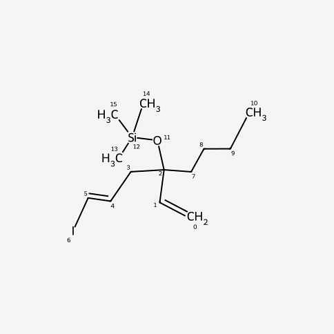 C=CC(CC=CI)(CCCC)O[Si](C)(C)C